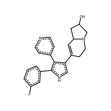 OC1CC2C=C(c3c[nH]c(-c4cccc(F)c4)c3-c3ccncc3)CCN2C1